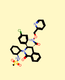 CS(=O)(=O)N[C@H]1CCCCC1N1C(=O)c2ccccc2[C@@H](C(=O)NOCc2ccccn2)[C@@H]1c1ccc(Cl)cc1